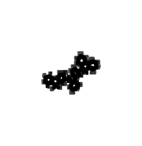 CC1(C)c2ccccc2-c2ccc(-n3c4ccccc4c4cc(-c5nc6ccccc6c6ccccc56)ccc43)cc21